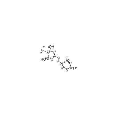 CC(C)c1c(O)cc(C=Cc2ccc(F)cc2F)cc1O